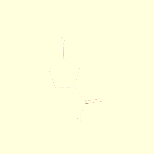 CN(C)C1CCN(C(N)=O)C1